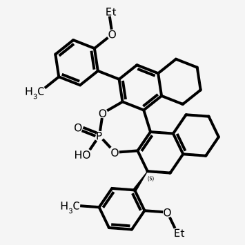 CCOc1ccc(C)cc1-c1cc2c(c3c1OP(=O)(O)OC1=C3C3=C(CCCC3)C[C@H]1c1cc(C)ccc1OCC)CCCC2